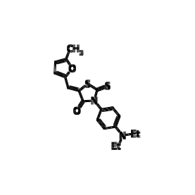 CCN(CC)c1ccc(N2C(=O)C(=Cc3ccc(C)o3)SC2=S)cc1